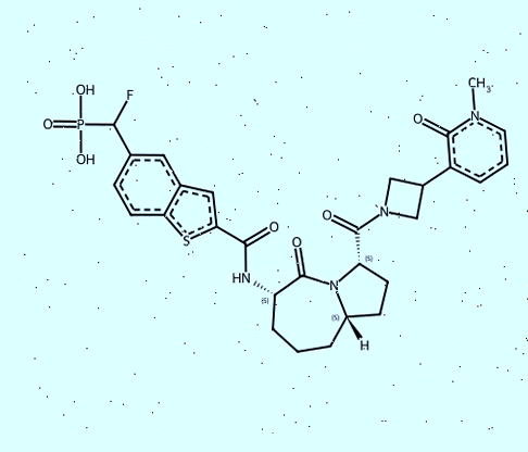 Cn1cccc(C2CN(C(=O)[C@@H]3CC[C@@H]4CCC[C@H](NC(=O)c5cc6cc(C(F)P(=O)(O)O)ccc6s5)C(=O)N43)C2)c1=O